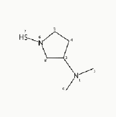 CN(C)C1CCN(S)C1